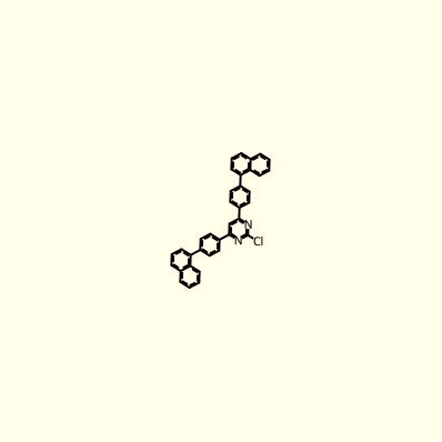 Clc1nc(-c2ccc(-c3cccc4ccccc34)cc2)cc(-c2ccc(-c3cccc4ccccc34)cc2)n1